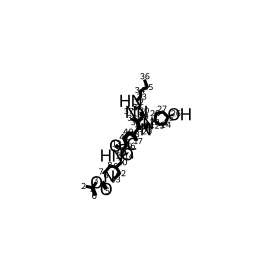 C=C(C)OC(=O)N1CCC(CNS(=O)(=O)c2ccc(-c3nn([C@H]4CC[C@H](O)CC4)c4nc(NCCCC)ncc34)cc2)CC1